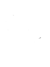 CC[C@@H](C=O)OC(=O)c1ccccc1